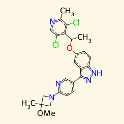 COC1(C)CN(c2ccc(-c3n[nH]c4ccc(OC(C)c5c(Cl)cnc(C)c5Cl)cc34)cn2)C1